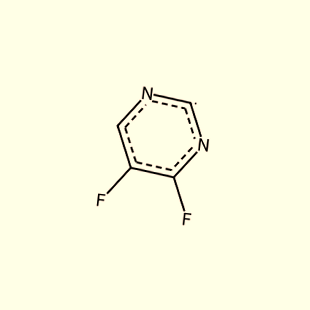 Fc1cn[c]nc1F